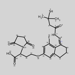 CC(C)(S)CC(=O)N/N=C1/CCCc2cc(OCCC(C(=O)O)N3C(=O)CCC3=O)cc(F)c21